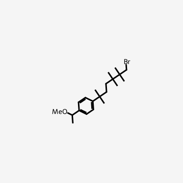 COC(C)c1ccc(C(C)(C)CCC(C)(C)C(C)(C)CBr)cc1